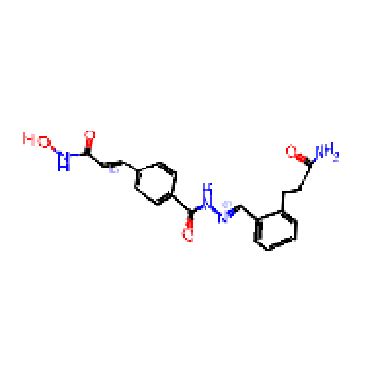 NC(=O)CCc1ccccc1/C=N/NC(=O)c1ccc(/C=C/C(=O)NO)cc1